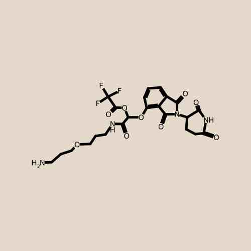 NCCCOCCCNC(=O)C(OC(=O)C(F)(F)F)Oc1cccc2c1C(=O)N(C1CCC(=O)NC1=O)C2=O